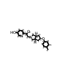 Cc1ccc(O[C@H]2C[C@@H]3CN(CC(=O)c4ccc(O)cn4)C[C@@H]3C2)cc1